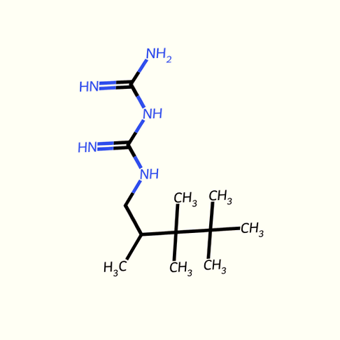 CC(CNC(=N)NC(=N)N)C(C)(C)C(C)(C)C